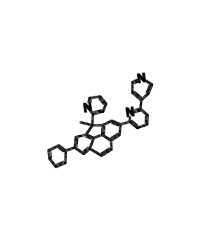 CC1(c2ccccn2)c2cc(-c3ccccc3)cc3ccc4cc(-c5cccc(-c6ccncc6)n5)cc1c4c23